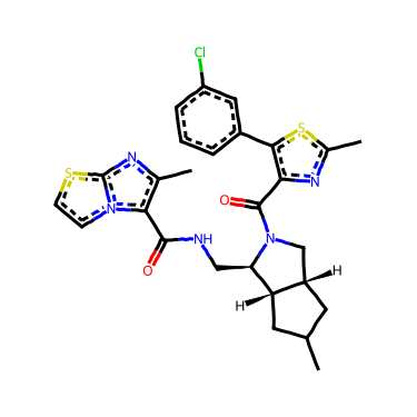 Cc1nc(C(=O)N2C[C@@H]3CC(C)C[C@@H]3[C@H]2CNC(=O)c2c(C)nc3sccn23)c(-c2cccc(Cl)c2)s1